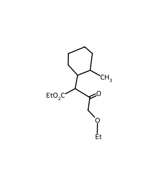 CCOCC(=O)C(C(=O)OCC)C1CCCCC1C